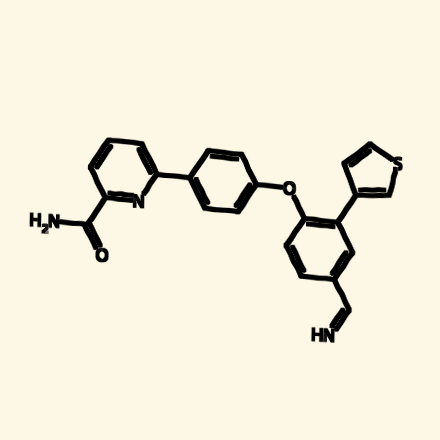 N=Cc1ccc(Oc2ccc(-c3cccc(C(N)=O)n3)cc2)c(-c2ccsc2)c1